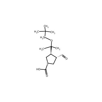 CC(C)(C)[SiH2]OC(C)(C)[C@@H]1CN(C(=O)O)C[C@H]1C=O